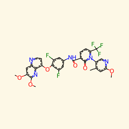 COc1cc(C)c(-n2c(C(F)(F)F)ccc(C(=O)Nc3cc(F)c(Oc4ccnc5cc(OC)c(OC)nc45)c(F)c3)c2=O)cn1